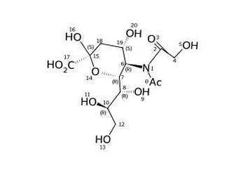 CC(=O)N(C(=O)CO)[C@H]1[C@H]([C@H](O)[C@H](O)CO)O[C@](O)(C(=O)O)C[C@@H]1O